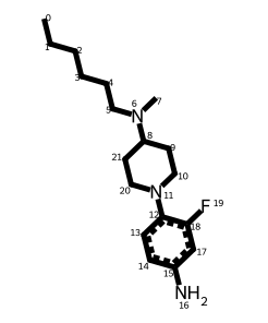 CCCCCCN(C)C1CCN(c2ccc(N)cc2F)CC1